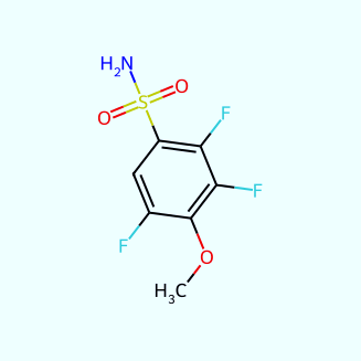 COc1c(F)cc(S(N)(=O)=O)c(F)c1F